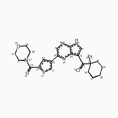 CCC1(C(=O)c2c[nH]c3ncc(-c4csc(C(=O)N5CCOCC5)c4)nc23)CCCCC1